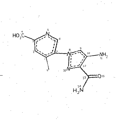 Cc1cc(C(=O)O)ncc1-n1cc(N)c(C(N)=O)n1